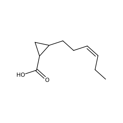 CC/C=C\CCC1CC1C(=O)O